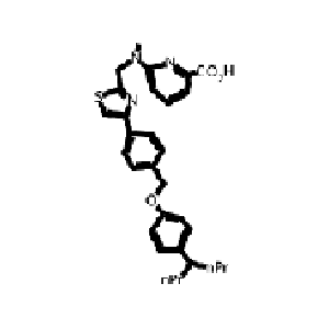 CCCC(CCC)c1ccc(OCc2ccc(-c3csc(CN(C)c4cccc(C(=O)O)n4)n3)cc2)cc1